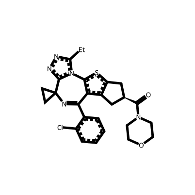 CCc1nnc2n1-c1sc3c(c1C(c1ccccc1Cl)=NC21CC1)C[C@H](C(=O)N1CCOCC1)C3